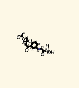 CC(=O)N1CC2(CC(=O)c3cc(/C=C/C(=O)NO)ccc3O2)C1